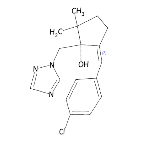 CC1(C)CC/C(=C/c2ccc(Cl)cc2)C1(O)Cn1cncn1